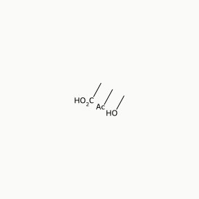 CC(=O)O.CC(C)=O.CO